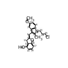 COc1ccc2c(c1)c(C=C1Cc3c(O)cccc3O1)c(C)n2CCCCl